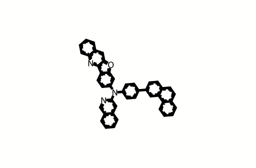 c1ccc2cc(N(c3ccc(-c4ccc5ccc6ccccc6c5c4)cc3)c3ccc4c(c3)oc3cc5ccccc5nc34)ncc2c1